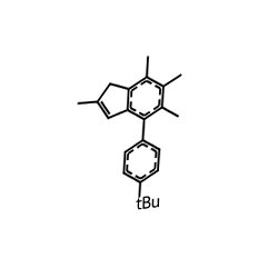 CC1=Cc2c(c(C)c(C)c(C)c2-c2ccc(C(C)(C)C)cc2)C1